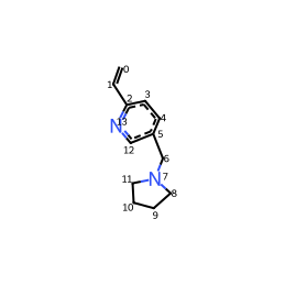 C=Cc1ccc(CN2CCCC2)cn1